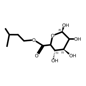 CC(C)CCOC(=O)C1O[C@@H](O)C(O)[C@@H](O)[C@@H]1O